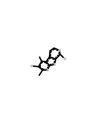 Cc1nc2sc3c(Cl)nccc3c2c(C)c1Cl